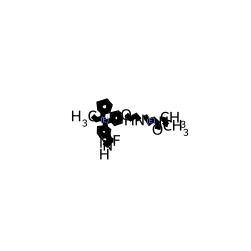 CC/C(=C(/c1ccc(OCCNC/C=C/C(=O)N(C)C)cc1)c1ccc2[nH]nc(F)c2c1)c1ccccc1